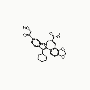 COC(=O)C1=Cc2c(ccc3c2OCO3)-c2c(C3CCCCC3)c3ccc(C(=O)CO)cc3n2C1